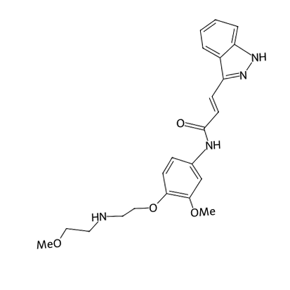 COCCNCCOc1ccc(NC(=O)/C=C/c2n[nH]c3ccccc23)cc1OC